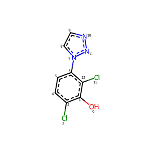 Oc1c(Cl)ccc(-n2ccnn2)c1Cl